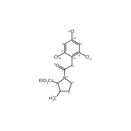 CCOC(=O)C1C(C)CCN1C(=O)Cc1c(Cl)cc(Cl)cc1Cl